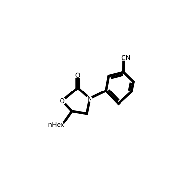 CCCCCCC1CN(c2cccc(C#N)c2)C(=O)O1